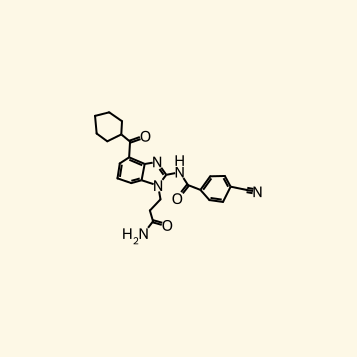 N#Cc1ccc(C(=O)Nc2nc3c(C(=O)C4CCCCC4)cccc3n2CCC(N)=O)cc1